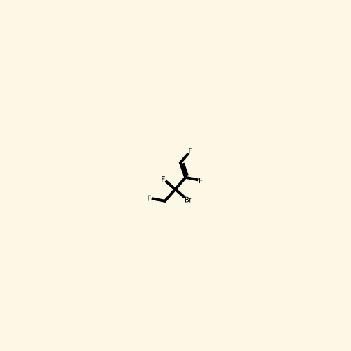 FC=C(F)C(F)(Br)CF